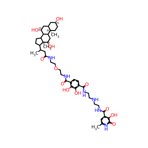 Cc1cc(C(=O)NCCNCCNC(=O)c2ccc(C(=O)NCCOCCNC(=O)CC(C)C3CCC4C5C(C[C@@H](O)[C@@]34C)[C@]3(C)CC[C@H](O)CC3C[C@@H]5O)c(O)c2O)c(O)c(=O)[nH]1